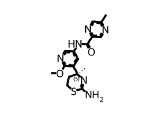 COc1ncc(NC(=O)c2cnc(C)cn2)cc1[C@]1(C)CCSC(N)=N1